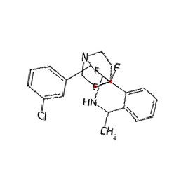 CC(NC1C2CCN(CC2)C1c1cccc(Cl)c1)c1ccccc1C(F)(F)F